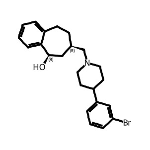 O[C@@H]1C[C@H](CN2CCC(c3cccc(Br)c3)CC2)CCc2ccccc21